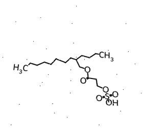 CCCCCCCCC(CCCC)COC(=O)CCOS(=O)(=O)O